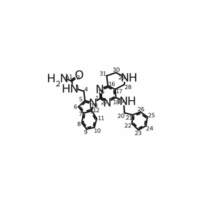 NC(=O)NCc1cc2ccccc2n1-c1nc2c(c(NCc3ccccc3)n1)CNCC2